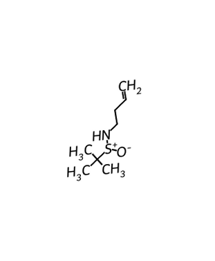 C=CCCN[S+]([O-])C(C)(C)C